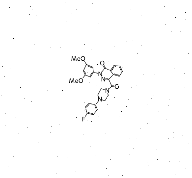 COc1cc(OC)cc(-n2nc(C(=O)N3CCN(c4ccc(F)cc4)CC3)c3ccccc3c2=O)c1